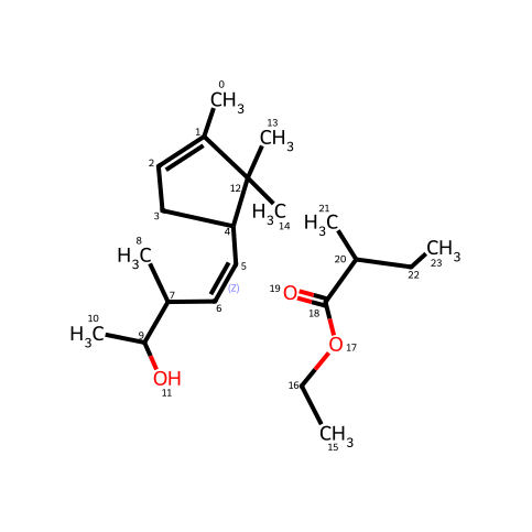 CC1=CCC(/C=C\C(C)C(C)O)C1(C)C.CCOC(=O)C(C)CC